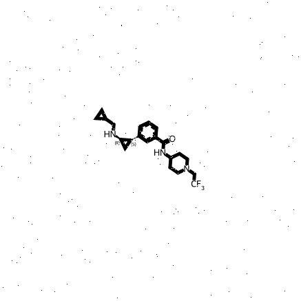 O=C(NC1CCN(CC(F)(F)F)CC1)c1cccc([C@@H]2C[C@H]2NCC2CC2)c1